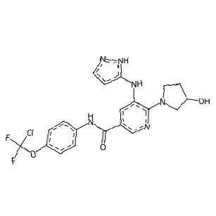 O=C(Nc1ccc(OC(F)(F)Cl)cc1)c1cnc(N2CCC(O)C2)c(Nc2ccn[nH]2)c1